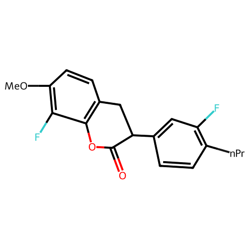 CCCc1ccc(C2Cc3ccc(OC)c(F)c3OC2=O)cc1F